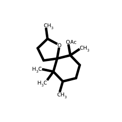 CC(=O)OC1(C)CCC(C)C(C)(C)C12CCC(C)O2